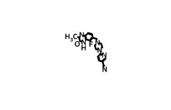 Cc1nc2ccc(CN3CCN(c4ccc(C#N)cn4)CC3)c(F)c2[nH]c1=O